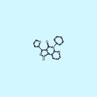 O=c1c2c(-c3cccs3)n[nH]c2c2cccnc2n1-c1ccccc1